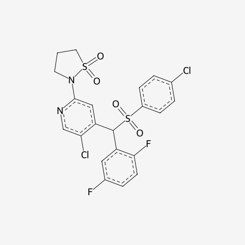 O=S(=O)(c1ccc(Cl)cc1)C(c1cc(F)ccc1F)c1cc(N2CCCS2(=O)=O)ncc1Cl